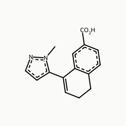 Cn1nccc1C1=CCCc2ccc(C(=O)O)cc21